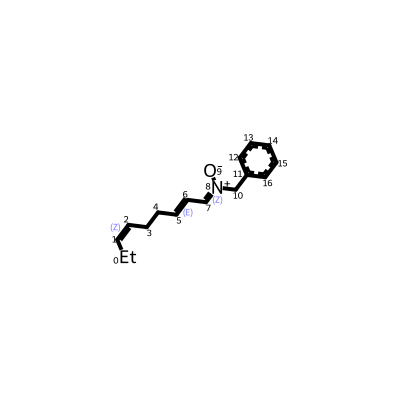 CC/C=C\CC/C=C/C=[N+](\[O-])Cc1ccccc1